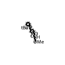 COCCNC(=O)C(=O)N1CCC(COc2ccccc2C(C)(C)C)CC1